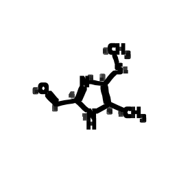 CSc1nc(C=O)[nH]c1C